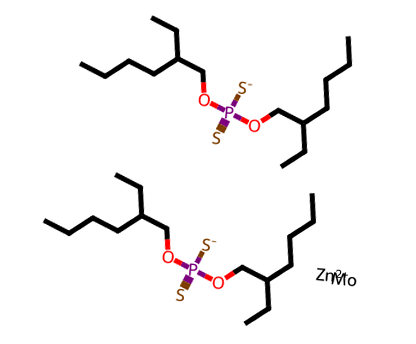 CCCCC(CC)COP(=S)([S-])OCC(CC)CCCC.CCCCC(CC)COP(=S)([S-])OCC(CC)CCCC.[Mo].[Zn+2]